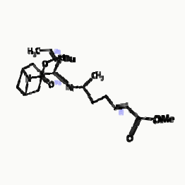 C/C=C\C(=N/C(C)CC/C=C/C(=O)OC)N1CC2CC(C1)N2C(=O)OC(C)(C)C